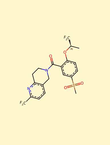 C[C@@H](Oc1ccc(S(C)(=O)=O)cc1C(=O)N1CCc2nc(C(F)(F)F)ccc2C1)C(F)(F)F